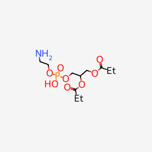 CCC(=O)OCC(COP(=O)(O)OCCN)OC(=O)CC